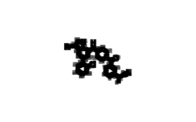 CC(C#N)c1cccc(C(=O)N2CCC(Nc3cc(-c4ccccc4Cl)nc4c(Br)cnn34)CC2)c1